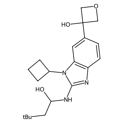 CC(C)(C)CC(O)Nc1nc2ccc(C3(O)COC3)cc2n1C1CCC1